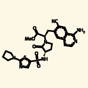 COC(=O)[C@@H](Cc1cc2ccnc(N)c2cc1C#N)N1CC[C@H](NS(=O)(=O)c2cnc(N3CCCC3)s2)C1=O